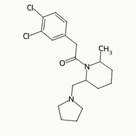 CC1CCCC(CN2CCCC2)N1C(=O)Cc1ccc(Cl)c(Cl)c1